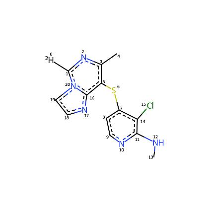 [2H]c1nc(C)c(Sc2ccnc(NC)c2Cl)c2nccn12